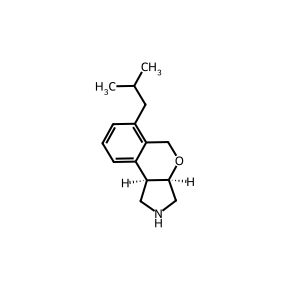 CC(C)Cc1cccc2c1CO[C@H]1CNC[C@@H]21